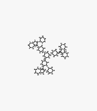 c1ccc(-c2cc3ccccc3n2-c2ccc(-c3cc(-c4ccc(-n5c(-c6ccccc6)cc6ccccc65)cc4)cc(-c4ccc(-n5c6ccccc6c6ccccc65)cc4)c3)cc2)cc1